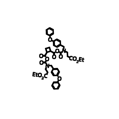 CCOC(=O)CCN(Cc1ccc(Oc2ccccc2)cc1)C(=O)OC(=O)C1CCC1C(=O)OC(=O)N(CCC(=O)OCC)Cc1ccc(Oc2ccccc2)cc1